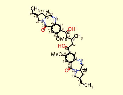 C/C=C1\C[C@H]2C=Nc3cc(C(O)CC(C)CC(O)c4cc5c(cc4OC)C(=O)N4C/C(=C/C)C[C@H]4C=N5)c(OC)cc3C(=O)N2C1